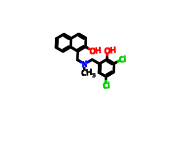 CN(Cc1cc(Cl)cc(Cl)c1O)Cc1c(O)ccc2ccccc12